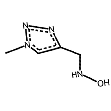 Cn1cc(CNO)nn1